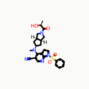 C[C@H](O)C(=O)N1C[C@H]2C[C@@H](N(C)c3c(C#N)cnc4c3ccn4S(=O)(=O)c3ccccc3)C[C@H]2C1